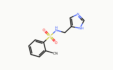 N#Cc1ccccc1S(=O)(=O)NCc1cnc[nH]1